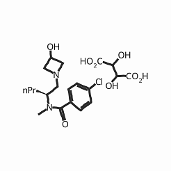 CCC[C@@H](CN1CC(O)C1)N(C)C(=O)c1ccc(Cl)cc1.O=C(O)C(O)C(O)C(=O)O